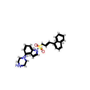 O=S(=O)(CC=Cc1cccc2ccccc12)n1ccc2c(N3CCNCC3)cccc21